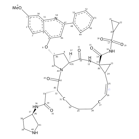 COc1ccc2c(O[C@@H]3C[C@H]4C(=O)N[C@]5(C(=O)NS(=O)(=O)C6CC6)CC5/C=C\CCCCC[C@H](CC(=O)N[C@@H]5CCNC5)C(=O)N4C3)cc(-c3ccccc3)nc2c1